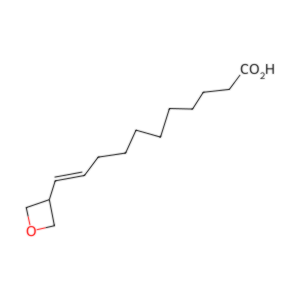 O=C(O)CCCCCCCC/C=C/C1COC1